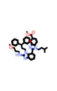 COCCCNc1nc2cccc(-c3nc4cc(C(=O)OC)ccc4n3CCC(C)C)c2n1CCC(c1ccccc1)c1ccccc1